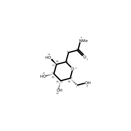 CNC(=O)CC1O[C@H](CO)[C@H](O)[C@H](O)[C@H]1O